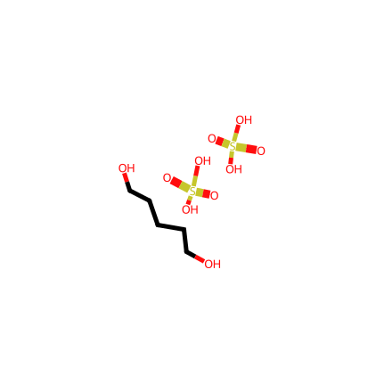 O=S(=O)(O)O.O=S(=O)(O)O.OCCCCCO